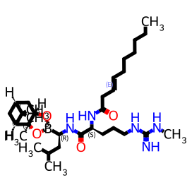 CCCCCC/C=C/CC(=O)N[C@@H](CCCNC(=N)NC)C(=O)N[C@@H](CC(C)C)B1O[C@@H]2C[C@@H]3C[C@@H](C3(C)C)[C@]2(C)O1